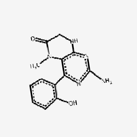 CN1C(=O)CNc2nc(N)nc(-c3ccccc3O)c21